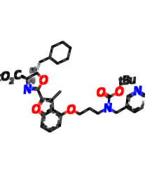 CCOC(=O)[C@@H]1N=C(c2oc3cccc(OCCCN(Cc4cccnc4)C(=O)OC(C)(C)C)c3c2C)O[C@H]1CC1CCCCC1